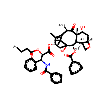 CC(=O)CCC(=O)O[C@@H](C(=O)O[C@H]1C[C@@]2(O)[C@@H](OC(=O)c3ccccc3)[C@@H]3[C@]4(OC(C)=O)CO[C@@H]4C[C@H](O)[C@@]3(C)C(=O)[C@H](OC(C)=O)C(=C1C)C2(C)C)[C@@H](NC(=O)c1ccccc1)c1ccccc1